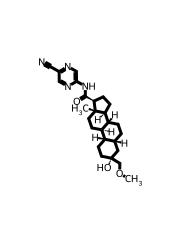 COC[C@@]1(O)CC[C@H]2[C@H](CC[C@@H]3[C@@H]2CC[C@]2(C)[C@@H](C(=O)Nc4cnc(C#N)cn4)CC[C@@H]32)C1